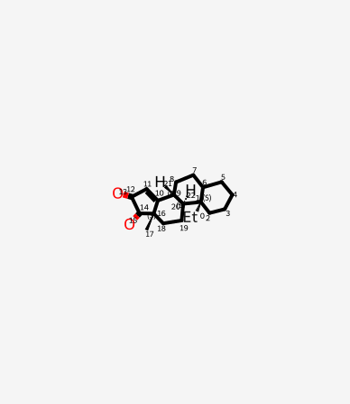 CC[C@]12CCCCC1CC[C@H]1C3=CC(=O)C(=O)[C@@]3(C)CC[C@@H]12